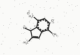 CC1=Cc2c(C)ccc(C)c2[CH]1[Ti+2].[Cl-].[Cl-]